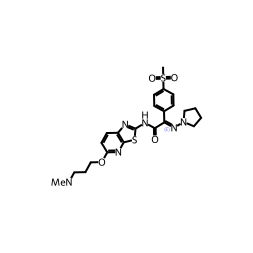 CNCCCOc1ccc2nc(NC(=O)/C(=N/N3CCCC3)c3ccc(S(C)(=O)=O)cc3)sc2n1